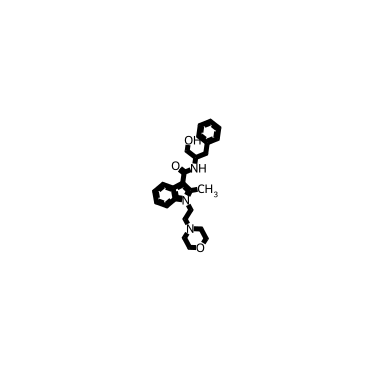 Cc1c(C(=O)NC(CO)Cc2ccccc2)c2ccccc2n1CCN1CCOCC1